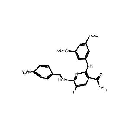 COc1cc(Nc2nc(NCc3ccc(N)cc3)c(F)cc2C(N)=O)cc(OC)c1